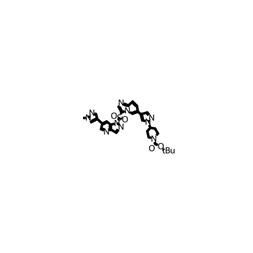 Cn1cc(-c2cnc3cnn(S(=O)(=O)c4cnc5ccc(-c6cnn(C7CCN(C(=O)OC(C)(C)C)CC7)c6)cn45)c3c2)cn1